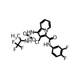 CC(NS(=O)(=O)Nc1c(Cl)c(C(=O)Nc2ccc(F)c(F)c2)n2ccccc12)C(F)(F)F